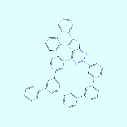 c1ccc(-c2cccc(-c3cccc(-c4nc(-c5cccc(-c6cccc(-c7ccccc7)c6)c5)c5c(n4)oc4c6ccccc6c6ccccc6c45)c3)c2)cc1